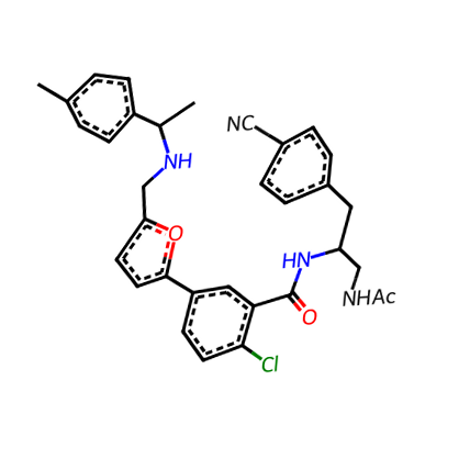 CC(=O)NCC(Cc1ccc(C#N)cc1)NC(=O)c1cc(-c2ccc(CNC(C)c3ccc(C)cc3)o2)ccc1Cl